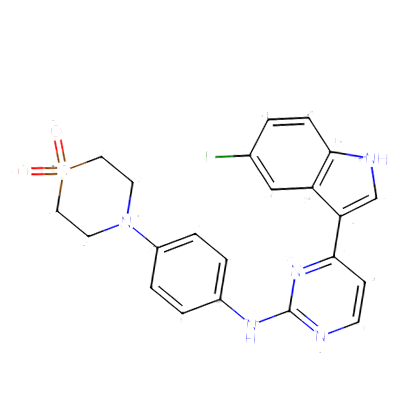 O=S1(=O)CCN(c2ccc(Nc3nccc(-c4c[nH]c5ccc(F)cc45)n3)cc2)CC1